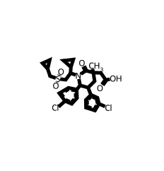 CC1(CC(=O)O)CC(c2cccc(Cl)c2)C(c2ccc(Cl)cc2)N(C(CS(=O)(=O)CC2CC2)C2CC2)C1=O